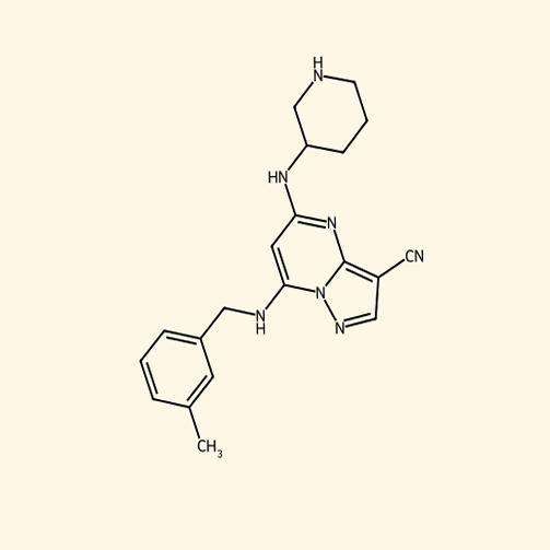 Cc1cccc(CNc2cc(NC3CCCNC3)nc3c(C#N)cnn23)c1